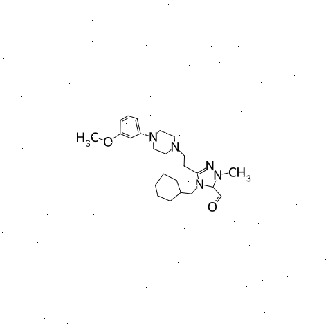 COc1cccc(N2CCN(CCC3=NN(C)C(C=O)N3CC3CCCCC3)CC2)c1